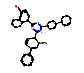 CC1C=C(c2ccccc2)C=CC1c1nc(-c2ccc(-c3ccccc3)cc2)nc(-c2ccc(Br)c3ccccc23)n1